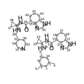 Cc1cc(C)cc(CNC2(NC(=O)c3cccc4[nH]cnc34)CC2)c1.O=C(NC1(NCc2ccncc2)CC1)c1cccc2[nH]cnc12